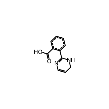 O=C(O)c1ccccc1C1=NC=CCN1